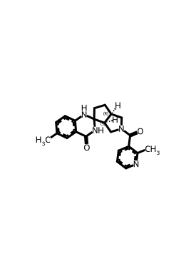 Cc1ccc2c(c1)C(=O)NC1(CC[C@H]3CN(C(=O)c4cccnc4C)C[C@H]31)N2